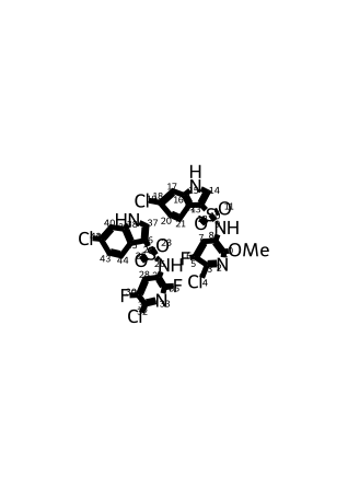 COc1nc(Cl)c(F)cc1NS(=O)(=O)c1c[nH]c2cc(Cl)ccc12.O=S(=O)(Nc1cc(F)c(Cl)nc1F)c1c[nH]c2cc(Cl)ccc12